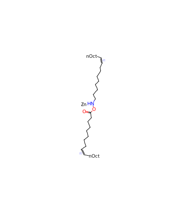 CCCCCCCC/C=C\CCCCCCCCNOC(=O)CCCCCCC/C=C\CCCCCCCC.[Zn]